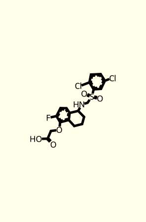 O=C(O)COc1c(F)ccc2c1CCCC2NCS(=O)(=O)c1cc(Cl)ccc1Cl